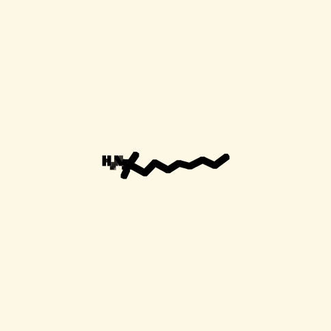 CCCCCCCC[Si](C)(C)N